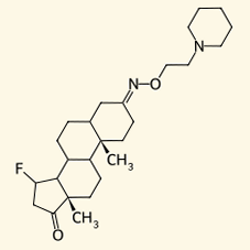 C[C@]12CCC(=NOCCN3CCCCC3)CC1CCC1C2CC[C@]2(C)C(=O)CC(F)C12